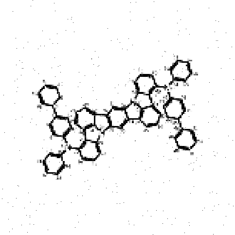 C1=CCC(c2ccc(N(c3ccccc3)c3cccc4c3c3cccc5c6cc7c(cc6n4c53)c3cccc4c5c(N(C6=CCC(c8ccccc8)C=C6)c6ccccc6)cccc5n7c34)cc2)C=C1